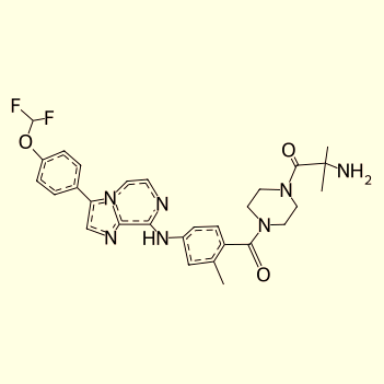 Cc1cc(Nc2nccn3c(-c4ccc(OC(F)F)cc4)cnc23)ccc1C(=O)N1CCN(C(=O)C(C)(C)N)CC1